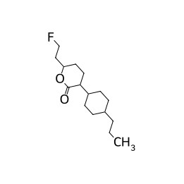 CCCC1CCC(C2CCC(CCF)OC2=O)CC1